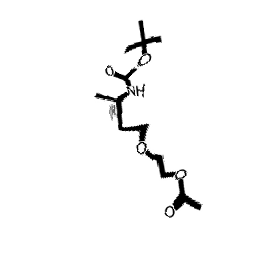 CC(=O)OCCOCC[C@@H](C)NC(=O)OC(C)(C)C